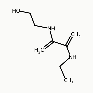 C=C(NCC)C(=C)NCCO